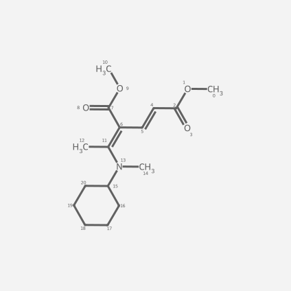 COC(=O)/C=C/C(C(=O)OC)=C(/C)N(C)C1CCCCC1